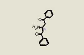 N/C(=C\C(=O)c1ccccc1)CC(=O)c1ccccc1